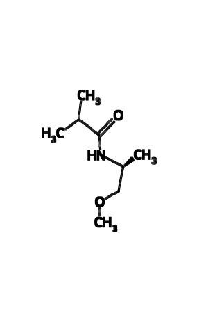 COC[C@H](C)NC(=O)C(C)C